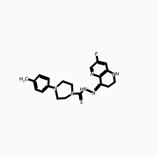 Cc1ccc(N2CCN(C(=S)N/N=C3/CCNc4cc(F)cnc43)CC2)cc1